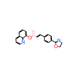 B(C=Cc1ccc(C2=NCCO2)cc1)Oc1cccc2cccnc12